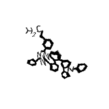 C=CCc1cccc(-c2nc(-c3ccccc3)nc(-c3ccccc3-c3ccccc3-c3ccc4c(c3)c3ccccc3n4-c3ccccc3)n2)c1